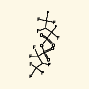 O=S(=O)(OS(=O)(=O)C(F)(F)C(F)C(F)(F)F)C(F)(F)C(F)C(F)(F)F